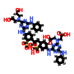 O=C(O)CN(CC(=O)O)c1nc(Nc2ccccc2)nc(Nc2ccc(/C=C/c3ccc(Nc4nc(Nc5ccccc5)nc(N(CCO)CCO)n4)cc3S(=O)(=O)O)c(S(=O)(=O)O)c2)n1